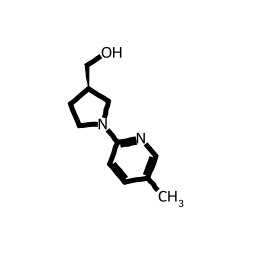 Cc1ccc(N2CC[C@@H](CO)C2)nc1